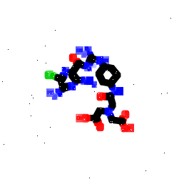 N/C(=N\C(=O)c1nc(Cl)c(N)nc1N)NC1CCC(NC(=O)CN(CC(=O)O)CC(=O)O)CC1